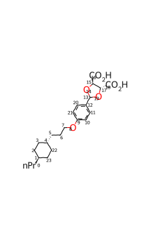 CCC[C@H]1CC[C@H](CCCOc2ccc(C3O[C@@H](C(=O)O)[C@H](C(=O)O)O3)cc2)CC1